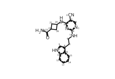 N#Cc1cnc(NCCc2c[nH]c3ccccc23)nc1NC1CC(C(N)=O)C1